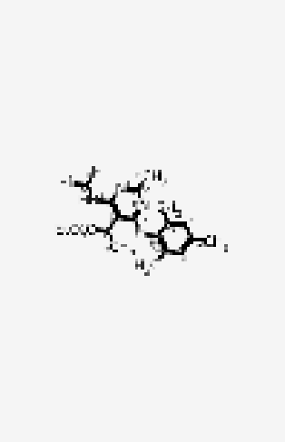 CCOC(=O)C(C)c1c(NC(CC)CC)nc(C)nc1Oc1c(C)cc(C)cc1C